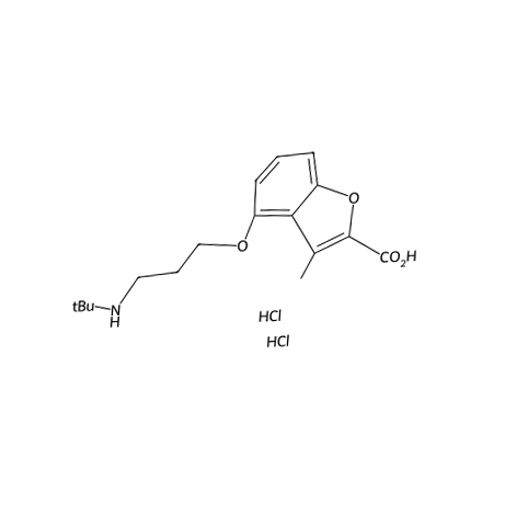 Cc1c(C(=O)O)oc2cccc(OCCCNC(C)(C)C)c12.Cl.Cl